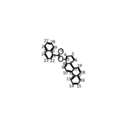 O=C(Oc1cccc2c1ccc1c3ccccc3ccc21)c1cccc2ccccc12